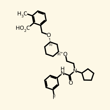 Cc1cccc(CO[C@H]2CCC[C@@H](OCCN(C(=O)Nc3cccc(F)c3)C3CCCC3)C2)c1C(=O)O